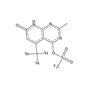 [2H]C([2H])([2H])c1cc(=O)[nH]c2nc(C)nc(OS(=O)(=O)C(F)(F)F)c12